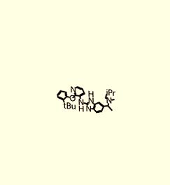 CC(C)CN(C)C(C)c1ccc2nc(Nc3cccnc3Oc3ccccc3C(C)(C)C)[nH]c2c1